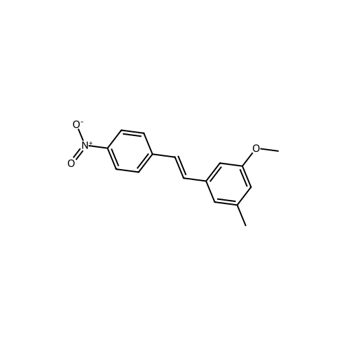 COc1cc(C)cc(/C=C/c2ccc([N+](=O)[O-])cc2)c1